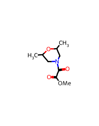 COC(=O)C(=O)N1CC(C)OC(C)C1